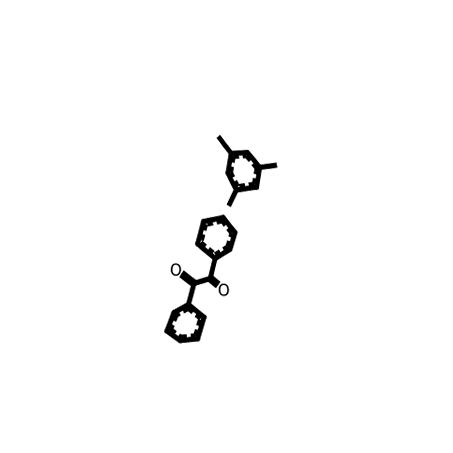 Cc1cc(C)cc(C)c1.O=C(C(=O)c1ccccc1)c1ccccc1